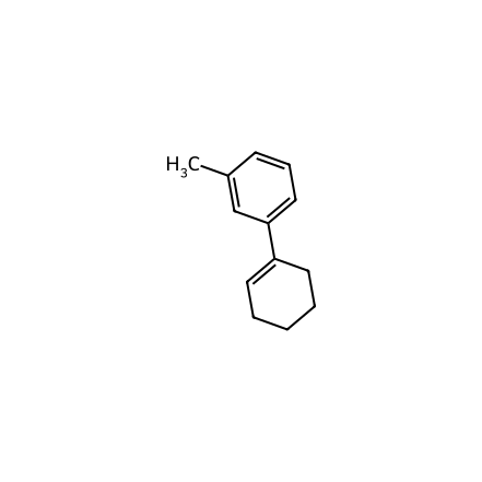 Cc1cccc(C2=CCCCC2)c1